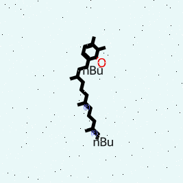 CCCC/C=C(\C)CC/C=C(\C)CCCC(C)CCC1=CC=C(C)C(C)C1OCCCC